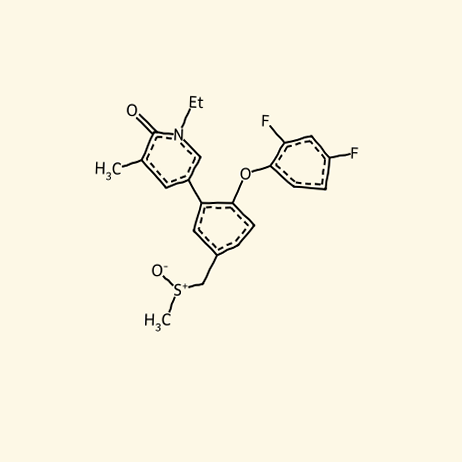 CCn1cc(-c2cc(C[S+](C)[O-])ccc2Oc2ccc(F)cc2F)cc(C)c1=O